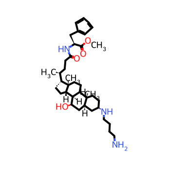 COC(=O)[C@H](Cc1ccccc1)NC(=O)CC[C@@H](C)[C@H]1CC[C@H]2[C@@H]3[C@H](O)C[C@@H]4C[C@@H](NCCCCN)CC[C@]4(C)[C@H]3CC[C@]12C